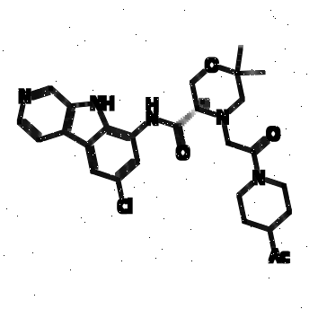 CC(=O)C1CCN(C(=O)CN2CC(C)(C)OC[C@H]2C(=O)Nc2cc(Cl)cc3c2[nH]c2cnccc23)CC1